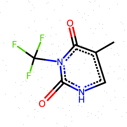 Cc1c[nH]c(=O)n(C(F)(F)F)c1=O